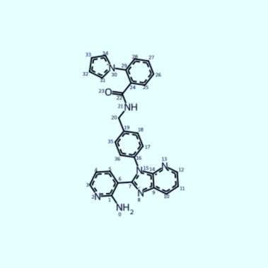 Nc1ncccc1-c1nc2cccnc2n1-c1ccc(CNC(=O)c2ccccc2-n2cccc2)cc1